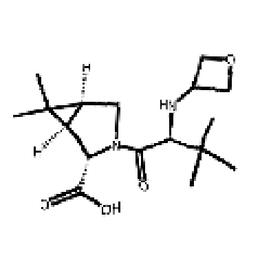 CC(C)(C)[C@H](NC1COC1)C(=O)N1C[C@H]2[C@@H]([C@H]1C(=O)O)C2(C)C